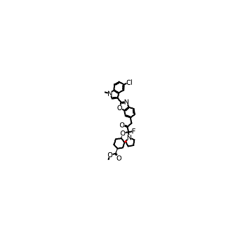 COC(=O)[C@H]1CC[C@H](OC(F)(C(=O)Cc2ccc3nc(-c4cn(C)c5ccc(Cl)cc45)oc3c2)N2CCCC2)CC1